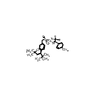 Cc1ccc(C(=NOS(=O)(=O)Cc2ccc(C(CC(C)(C)C)C(C)(C)C)cc2)C(F)(F)F)cc1